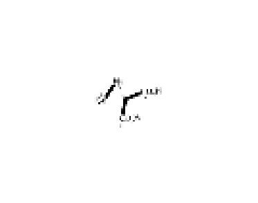 CC[CH](C)[Na].O=C(O)CC(=O)O